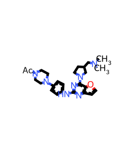 CC(=O)N1CCN(c2ccc(Nc3nc(N4CCC(CN(C)C)C4)c4occc4n3)cc2)CC1